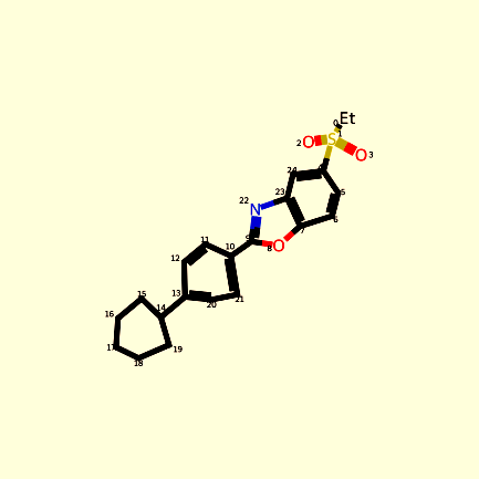 CCS(=O)(=O)c1ccc2oc(-c3ccc(C4CCCCC4)cc3)nc2c1